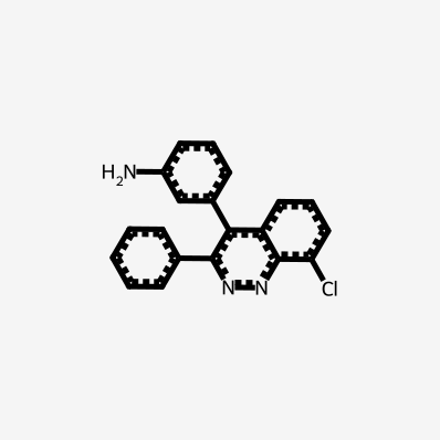 Nc1cccc(-c2c(-c3ccccc3)nnc3c(Cl)cccc23)c1